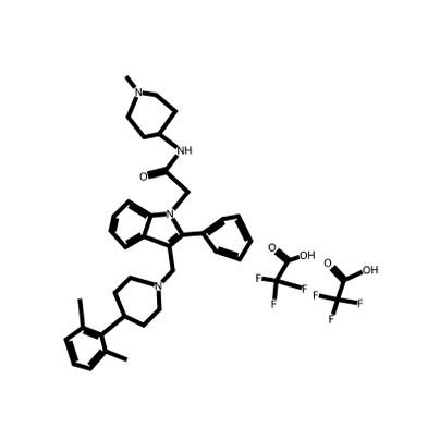 Cc1cccc(C)c1C1CCN(Cc2c(-c3ccccc3)n(CC(=O)NC3CCN(C)CC3)c3ccccc23)CC1.O=C(O)C(F)(F)F.O=C(O)C(F)(F)F